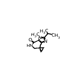 CC(C)c1nc2c(n1C)C(=O)NCC21CC1